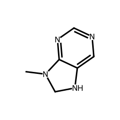 CN1CNc2cncnc21